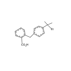 CCC(C)(C)c1ccc(Cc2ccccc2C(=O)O)cc1